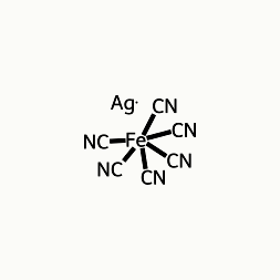 N#[C][Fe]([C]#N)([C]#N)([C]#N)([C]#N)[C]#N.[Ag]